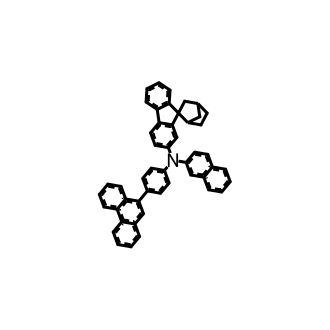 c1ccc2c(c1)-c1ccc(N(c3ccc(-c4cc5ccccc5c5ccccc45)cc3)c3ccc4ccccc4c3)cc1C21CC2CCC1C2